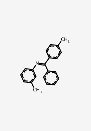 Cc1ccc(/C(=N/c2cccc(C)c2)c2ccccc2)cc1